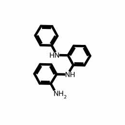 Nc1ccccc1Nc1ccccc1Nc1ccccc1